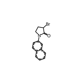 O=C1C(Br)CCN1c1ccc2ccccc2c1